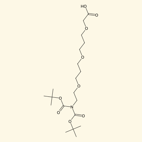 CC(C)(C)OC(=O)N(CCOCCCOCCCOCC(=O)O)C(=O)OC(C)(C)C